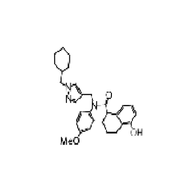 COc1ccc(N(Cc2cnn(CC3CCCCC3)c2)C(=O)C2CCCc3c(O)cccc32)cc1